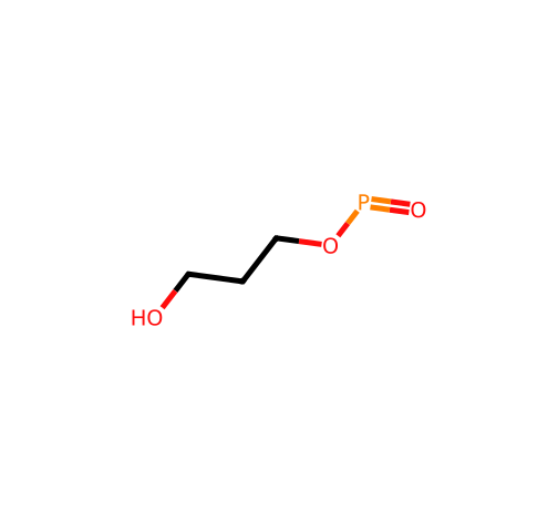 O=POCCCO